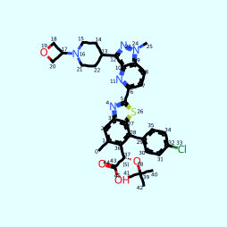 Cc1cc2nc(-c3ccc4c(n3)c(C3CCN(C5COC5)CC3)nn4C)sc2c(-c2ccc(Cl)cc2)c1[C@H](OC(C)(C)C)C(=O)O